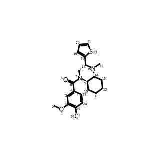 COc1cc(C(=O)N(C)[C@@H]2CCCC[C@H]2N(C)Cc2cccs2)ccc1Cl